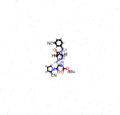 C[C@@H](c1cccc(C#N)c1)N1C(=O)[C@@H]2C[C@H]1CN2C[C@H](NC(=O)OC(C)(C)C)C(=O)N1CCC[C@H]1C#N